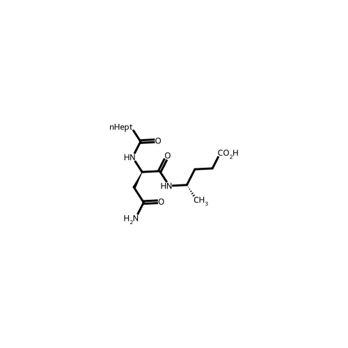 CCCCCCCC(=O)N[C@H](CC(N)=O)C(=O)N[C@@H](C)CCC(=O)O